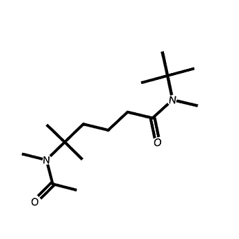 CC(=O)N(C)C(C)(C)CCCC(=O)N(C)C(C)(C)C